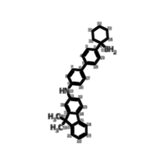 BC1(c2ccc(-c3ccc(Nc4ccc5c(c4)C(C)(C)c4ccccc4-5)cc3)cc2)CCCCC1